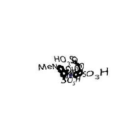 CNc1ccc2c(O)c(/N=N/c3ccc4cc(S(=O)(=O)O)cc(S(=O)(=O)CCOS(=O)(=O)O)c4c3)c(S(=O)(=O)O)cc2c1